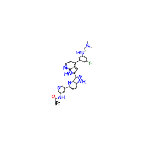 CC(C)C(=O)Nc1cncc(-c2ccc3[nH]nc(-c4cc5c(-c6cc(F)cc(NCCN(C)C)c6)ccnc5[nH]4)c3n2)c1